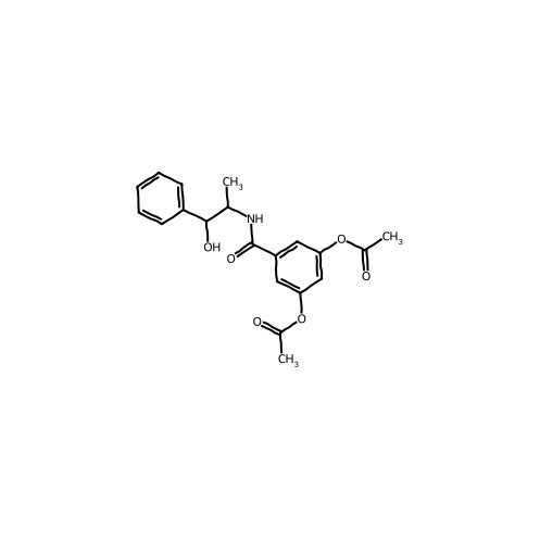 CC(=O)Oc1cc(OC(C)=O)cc(C(=O)NC(C)C(O)c2ccccc2)c1